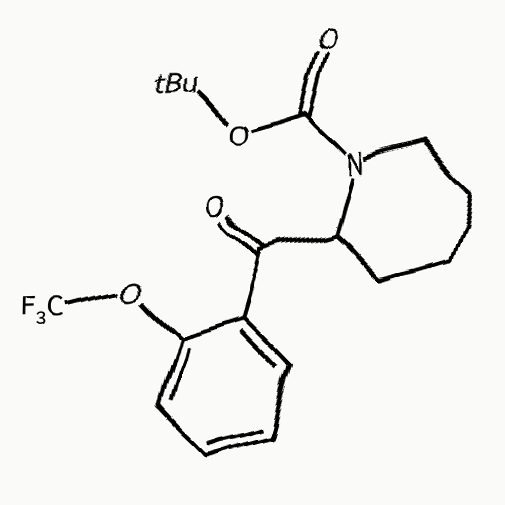 CC(C)(C)OC(=O)N1CCCCC1C(=O)c1ccccc1OC(F)(F)F